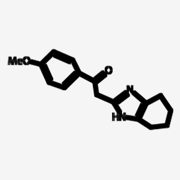 COc1ccc(C(=O)Cc2nc3c([nH]2)CCCC3)cc1